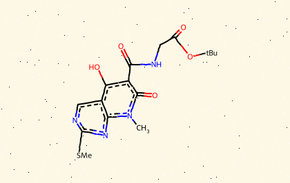 CSc1ncc2c(O)c(C(=O)NCC(=O)OC(C)(C)C)c(=O)n(C)c2n1